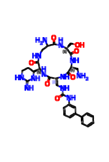 N=C1NCCC([C@@H]2NC(=O)/C(=C/NC(=O)Nc3cccc(-c4ccccc4)c3)NC(=O)[C@H](CN)NC(=O)[C@H](CO)NC(=O)C(N)CNC2=O)N1